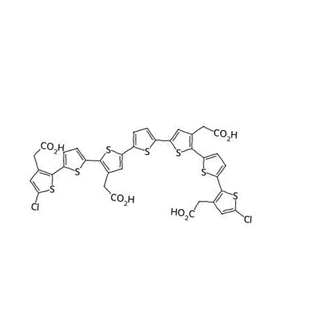 O=C(O)Cc1cc(Cl)sc1-c1ccc(-c2sc(-c3ccc(-c4cc(CC(=O)O)c(-c5ccc(-c6sc(Cl)cc6CC(=O)O)s5)s4)s3)cc2CC(=O)O)s1